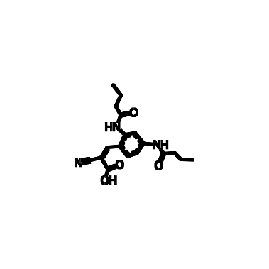 CCCC(=O)Nc1ccc(C=C(C#N)C(=O)O)c(NC(=O)CCC)c1